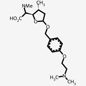 CNC(C(=O)O)[C@@H]1OC(OCc2ccc(OCCN(C)C)cc2)C[C@H]1C